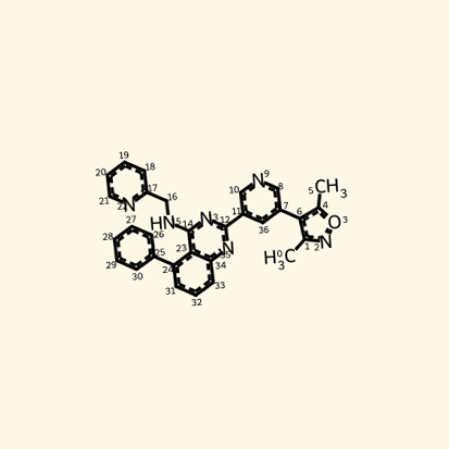 Cc1noc(C)c1-c1cncc(-c2nc(NCc3ccccn3)c3c(-c4ccccc4)cccc3n2)c1